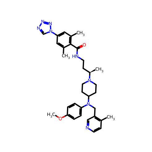 COc1ccc(N(Cc2cnccc2C)C2CCN([C@H](C)CCNC(=O)c3c(C)cc(-n4cnnn4)cc3C)CC2)cc1